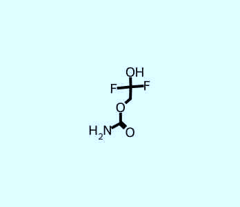 NC(=O)OCC(O)(F)F